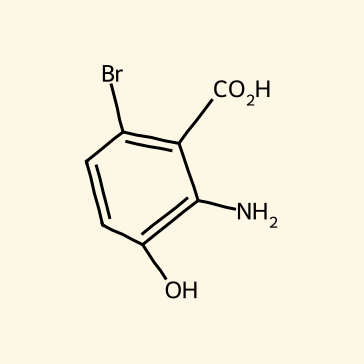 Nc1c(O)ccc(Br)c1C(=O)O